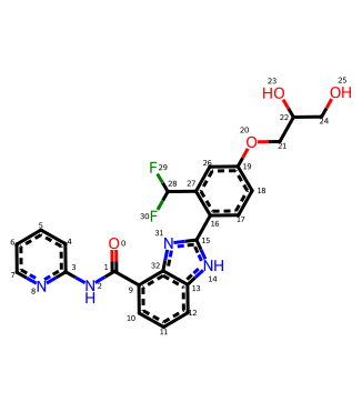 O=C(Nc1ccccn1)c1cccc2[nH]c(-c3ccc(OCC(O)CO)cc3C(F)F)nc12